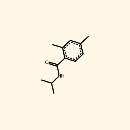 Cc1ccc(C(=O)NC(C)C)c(C)c1